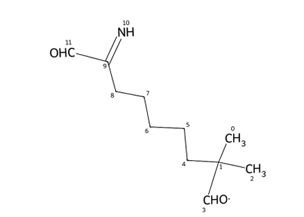 CC(C)([C]=O)CCCCCC(=N)C=O